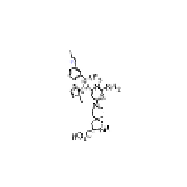 C/C=C/c1ccc(-n2ccc(C)n2)c([C@@H](Oc2cc(N3CCC4(CC3)CN[C@H](C(=O)O)C4)nc(N)n2)C(F)(F)F)c1